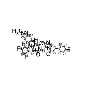 Cn1cc2cc(/N=c3\[nH]c(=O)n(Cc4cnnn4C(=O)/C=C/c4ccc(F)cc4)c(=O)n3Cc3cc(F)c(F)cc3F)c(Cl)cc2n1